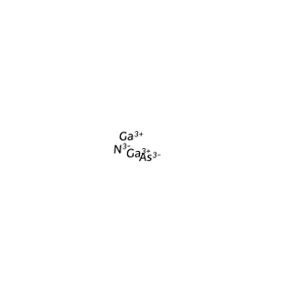 [As-3].[Ga+3].[Ga+3].[N-3]